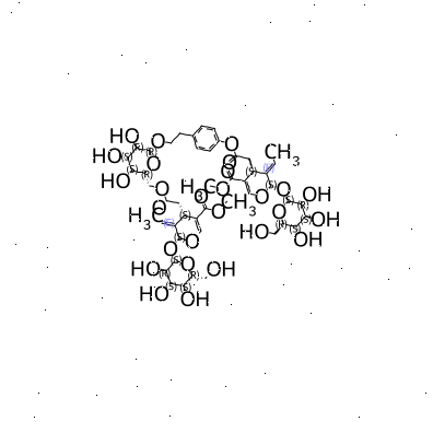 C/C=C1/[C@H](O[C@@H]2O[C@H](CO)[C@@H](O)[C@H](O)[C@H]2O)OC=C(C(=O)OC)[C@H]1CC(=O)OC[C@H]1O[C@@H](OCCc2ccc(OC(=O)C[C@@H]3C(C(=O)OC)=CO[C@@H](O[C@@H]4O[C@H](CO)[C@@H](O)[C@H](O)[C@H]4O)/C3=C/C)cc2)[C@H](O)[C@@H](O)[C@@H]1O